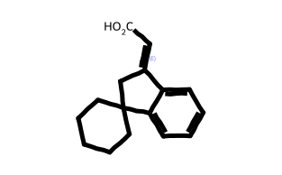 O=C(O)/C=C1\CC2(CCCCC2)c2ccccc21